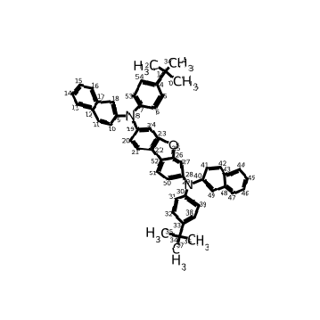 CC(C)(C)c1ccc(N(c2ccc3ccccc3c2)c2ccc3c(c2)oc2cc(N(c4ccc(C(C)(C)C)cc4)c4ccc5ccccc5c4)ccc23)cc1